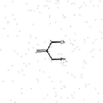 C=C(CP)CCl